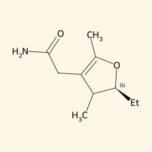 CC[C@@H]1OC(C)=C(CC(N)=O)C1C